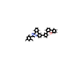 Cc1cc(C)c(-c2cn3c4ccc(-c5cccc(-c6cccc7c6oc6ccccc67)c5)cc4c4ccccc4c3n2)c(C)c1